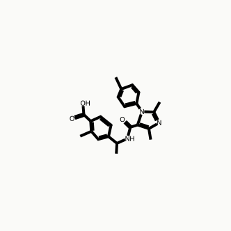 Cc1ccc(-n2c(C)nc(C)c2C(=O)NC(C)c2ccc(C(=O)O)c(C)c2)cc1